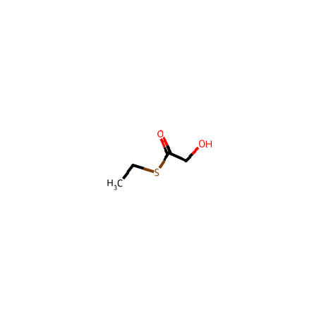 CCSC(=O)CO